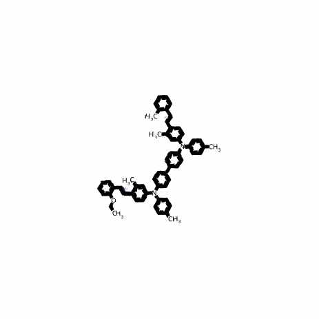 CCOc1ccccc1/C=C/c1ccc(N(c2ccc(C)cc2)c2ccc(-c3ccc(N(c4ccc(C)cc4)c4ccc(/C=C/c5ccccc5C)c(C)c4)cc3)cc2)cc1C